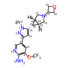 CC(C)n1nc(-c2cnc(N)c(OC(F)(F)F)c2)cc1[C@@H]1[C@@H]2CN(C3COC3)C[C@@H]21